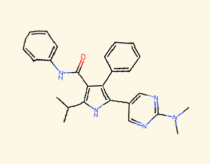 CC(C)c1[nH]c(-c2cnc(N(C)C)nc2)c(-c2ccccc2)c1C(=O)Nc1ccccc1